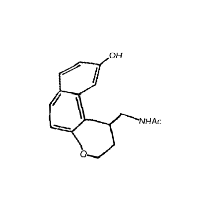 CC(=O)NCC1CCOc2ccc3ccc(O)cc3c21